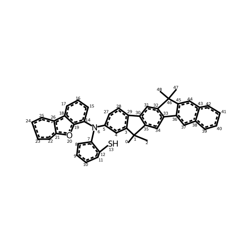 CC1(C)c2cc(N(c3ccccc3S)c3cccc4c3oc3ccccc34)ccc2-c2cc3c(cc21)-c1cc2ccccc2cc1C3(C)C